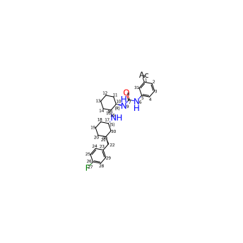 CC(=O)c1cccc(NC(=O)N[C@@H]2CCCC[C@H]2N[C@H]2CCC[C@H](Cc3ccc(F)cc3)C2)c1